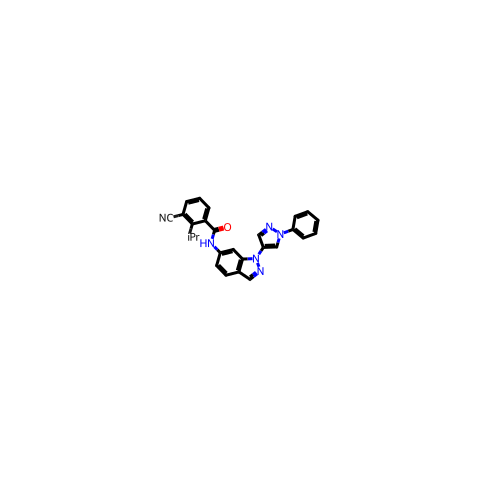 CC(C)c1c(C#N)cccc1C(=O)Nc1ccc2cnn(-c3cnn(-c4ccccc4)c3)c2c1